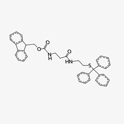 O=C(CCNC(=O)OCC1c2ccccc2-c2ccccc21)NCCSC(c1ccccc1)(c1ccccc1)c1ccccc1